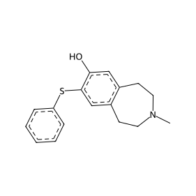 CN1CCc2cc(O)c(Sc3ccccc3)cc2CC1